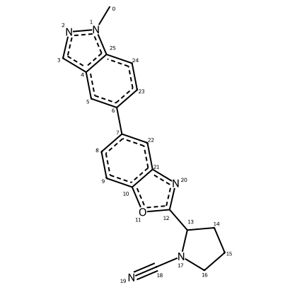 Cn1ncc2cc(-c3ccc4oc(C5CCCN5C#N)nc4c3)ccc21